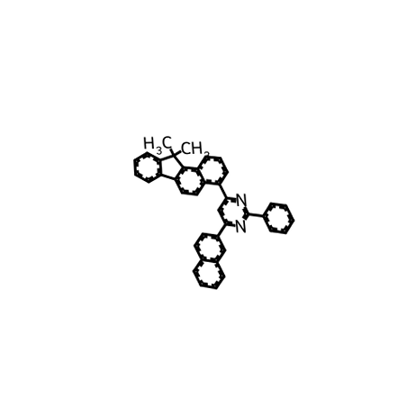 CC1(C)c2ccccc2-c2ccc3c(-c4cc(-c5ccc6ccccc6c5)nc(-c5ccccc5)n4)cccc3c21